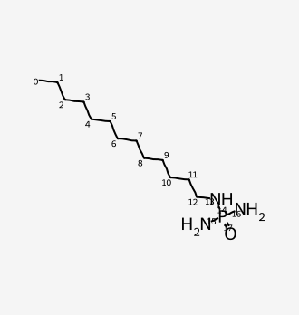 CCCCCCCCCCCCCNP(N)(N)=O